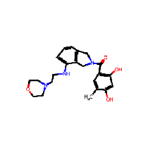 Cc1cc(C(=O)N2Cc3cccc(NCCN4CCOCC4)c3C2)c(O)cc1O